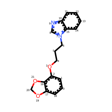 c1cc(OCCCn2cnc3ccccc32)c2c(c1)OCO2